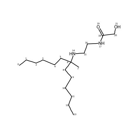 CCCCCCC(C)(CCCCCC)NCCNC(=O)CO